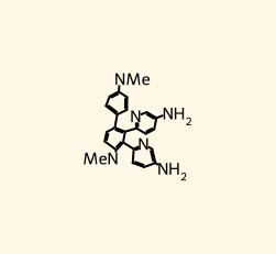 CNc1ccc(-c2ccc(NC)c(-c3ccc(N)cn3)c2-c2ccc(N)cn2)cc1